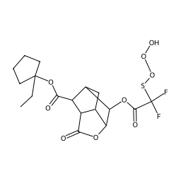 CCC1(OC(=O)C2C3CC4C(OC(=O)C42)C3OC(=O)C(F)(F)SOOO)CCCC1